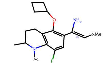 CN/C=C(\N)c1cc(F)c2c(c1OC1CCC1)CCC(C)N2C(C)=O